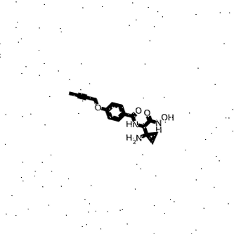 CC#CCOc1ccc(C(=O)NC(C(=O)NO)C2(N)CC2)cc1